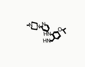 CC(C)Oc1ccc(C=N)c(Nc2ccnc(N3CCN(C)CC3)c2)c1